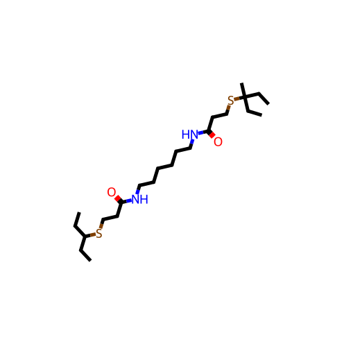 CCC(CC)SCCC(=O)NCCCCCCNC(=O)CCSC(C)(CC)CC